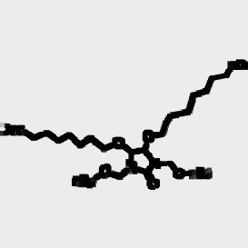 CCCCCCCCCCCCCCCCCOC1C(OCCCCCCCCCCCCCCCCC)N(COCCCC)C(=O)N1COCCCC